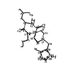 CCCN1C(=O)C(CC(C)C)NC(=O)C12CCN(Cc1[nH]cnc1C)CC2